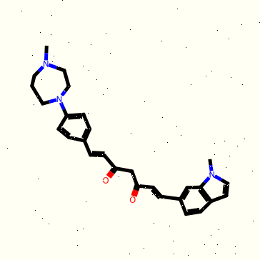 CN1CCCN(c2ccc(C=CC(=O)CC(=O)C=Cc3ccc4ccn(C)c4c3)cc2)CC1